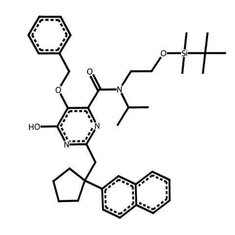 CC(C)N(CCO[Si](C)(C)C(C)(C)C)C(=O)c1nc(CC2(c3ccc4ccccc4c3)CCCC2)nc(O)c1OCc1ccccc1